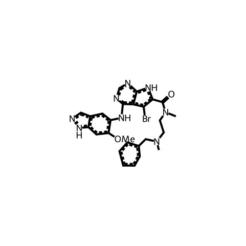 COc1cc2[nH]ncc2cc1Nc1ncnc2[nH]c(C(=O)N(C)CCN(C)Cc3ccccc3)c(Br)c12